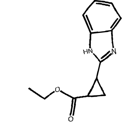 CCOC(=O)C1CC1c1nc2ccccc2[nH]1